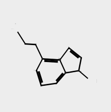 CC1C=Cc2c(CCBr)cccc21